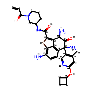 C=CC(=O)N1CCCC(NC(=O)c2sc3c(N)ccc4c3c2C(N)C(=O)C4(N)c2cnc(OC3CCC3)cc2C)C1